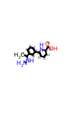 C=C(NN)c1cccc(C2=CC=CC(C(=O)O)N2)c1